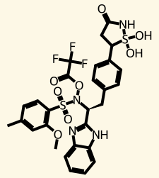 COc1cc(C)ccc1S(=O)(=O)N(OC(=O)C(F)(F)F)[C@@H](Cc1ccc(C2CC(=O)NS2(O)O)cc1)c1nc2ccccc2[nH]1